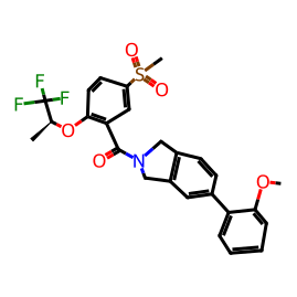 COc1ccccc1-c1ccc2c(c1)CN(C(=O)c1cc(S(C)(=O)=O)ccc1O[C@@H](C)C(F)(F)F)C2